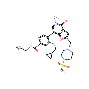 CCNC(=O)c1ccc(-c2cn(C)c(=O)c3cc(CN4CCN(S(C)(=O)=O)CC4)oc23)c(OCC2CC2)c1